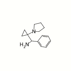 NC(c1ccccc1)C1(N2CCCC2)CC1